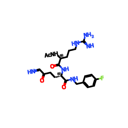 CC(=O)N[C@@H](CCCNC(=N)N)C(=O)N[C@@H](CCC(=O)C=N)C(=O)NCc1ccc(F)cc1